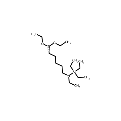 CCO[SiH](CCCCCN(CC)[Si](CC)(CC)CC)OCC